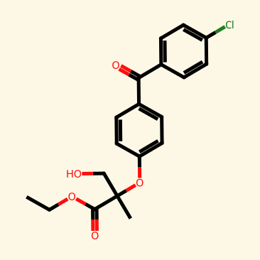 CCOC(=O)C(C)(CO)Oc1ccc(C(=O)c2ccc(Cl)cc2)cc1